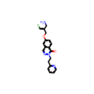 NCC(=CF)COc1ccc2c(=O)n(CCc3ccccn3)ncc2c1